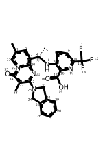 Cc1cc([C@H](C)Nc2ccc(C(F)(F)F)nc2C(=O)O)c2nc(N3Cc4ccccc4C3)c(C)c(=O)n2c1